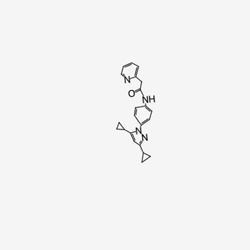 O=C(Cc1ccccn1)Nc1ccc(-n2nc(C3CC3)cc2C2CC2)cc1